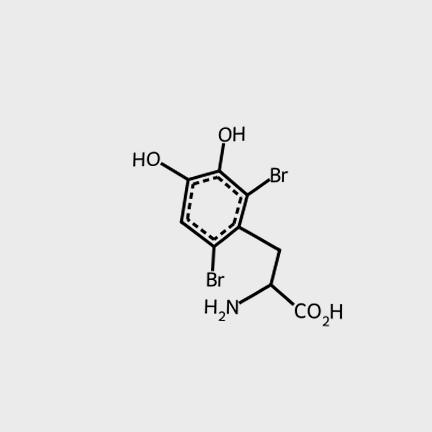 NC(Cc1c(Br)cc(O)c(O)c1Br)C(=O)O